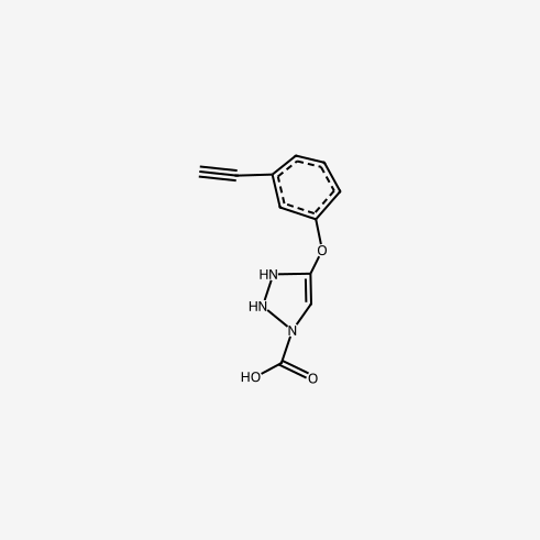 C#Cc1cccc(OC2=CN(C(=O)O)NN2)c1